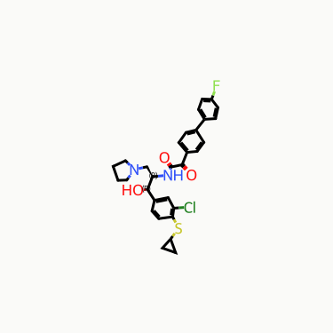 O=C(N[C@H](CN1CCCC1)[C@H](O)c1ccc(SC2CC2)c(Cl)c1)C(=O)c1ccc(-c2ccc(F)cc2)cc1